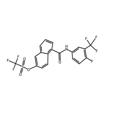 O=C(Nc1ccc(F)c(C(F)(F)F)c1)c1cccc2cc(OS(=O)(=O)C(F)(F)F)ccc12